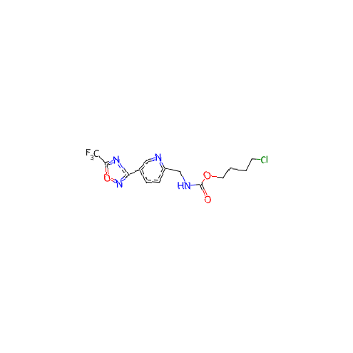 O=C(NCc1ccc(-c2noc(C(F)(F)F)n2)cn1)OCCCCCl